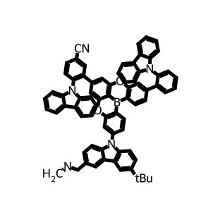 C=NCc1ccc2c(c1)c1cc(C(C)(C)C)ccc1n2-c1ccc2c(c1)Oc1cc(-c3cc(C#N)ccc3-n3c4ccccc4c4ccccc43)cc3c1B2c1ccc(-c2ccccc2-n2c4ccccc4c4ccccc42)cc1O3